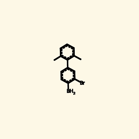 Bc1ccc(-c2c(C)cccc2C)cc1Br